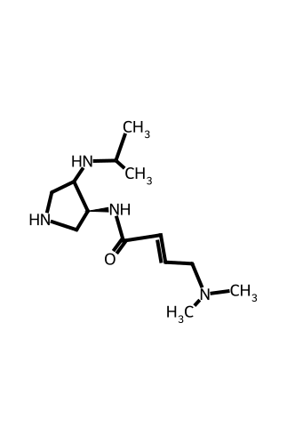 CC(C)NC1CNC[C@@H]1NC(=O)/C=C/CN(C)C